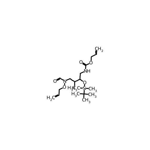 C=CCOC(=O)NCC(O[Si](C)(C)C(C)(C)C)C(C)CN(C=O)OCC=C